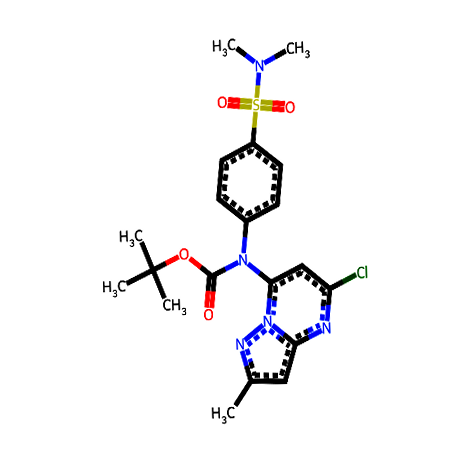 Cc1cc2nc(Cl)cc(N(C(=O)OC(C)(C)C)c3ccc(S(=O)(=O)N(C)C)cc3)n2n1